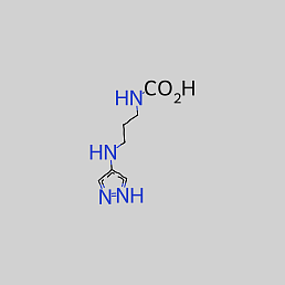 O=C(O)NCCCNc1cn[nH]c1